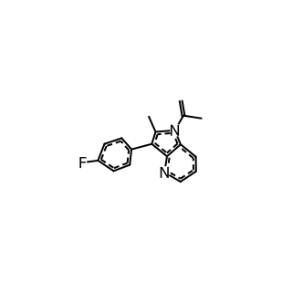 C=C(C)n1c(C)c(-c2ccc(F)cc2)c2ncccc21